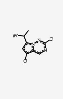 CC(C)C(C)c1cc(Cl)c2cnc(Cl)nn12